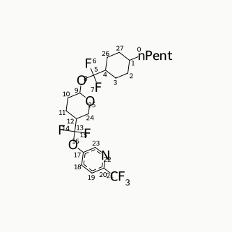 CCCCCC1CCC(C(F)(F)OC2CCC(C(F)(F)Oc3ccc(C(F)(F)F)nc3)CO2)CC1